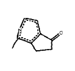 Cc1nccc2c1CCC2=O